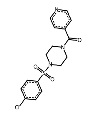 O=C(c1ccncc1)N1CCN(S(=O)(=O)c2ccc(Cl)cc2)CC1